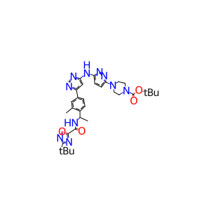 Cc1cc(-c2cc(Nc3ccc(N4CCN(C(=O)OC(C)(C)C)CC4)nn3)ncn2)ccc1C(C)NC(=O)c1nc(C(C)(C)C)no1